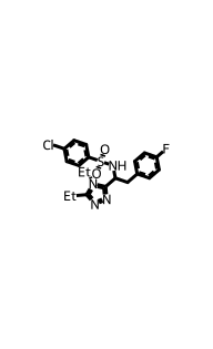 CCc1nnc(C(Cc2ccc(F)cc2)NS(=O)(=O)c2ccc(Cl)cc2)n1CC